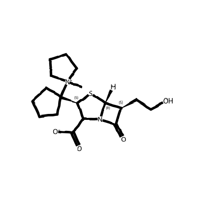 C[N+]1(C2([C@H]3S[C@@H]4[C@@H](CCO)C(=O)N4C3C(=O)[O-])CCCC2)CCCC1